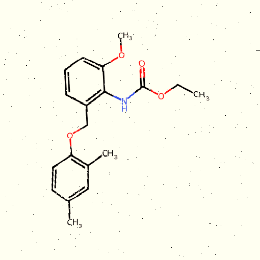 CCOC(=O)Nc1c(COc2ccc(C)cc2C)cccc1OC